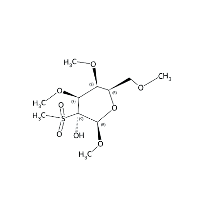 COC[C@H]1O[C@@H](OC)[C@@](O)(S(C)(=O)=O)[C@@H](OC)[C@H]1OC